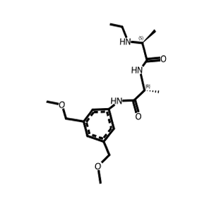 CCN[C@@H](C)C(=O)N[C@H](C)C(=O)Nc1cc(COC)cc(COC)c1